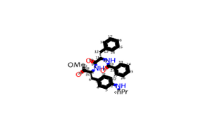 CCCNc1ccc(C[C@H](NC(=O)[C@H](Cc2ccccc2)NC(=O)c2ccccc2)C(=O)OC)cc1